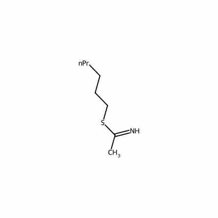 CCCCCCSC(C)=N